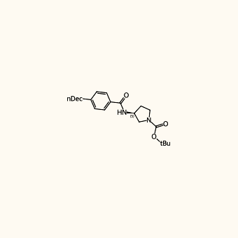 CCCCCCCCCCc1ccc(C(=O)N[C@H]2CCN(C(=O)OC(C)(C)C)C2)cc1